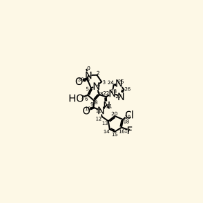 CN1CCn2c(c(O)c3c(=O)n(Cc4ccc(F)c(Cl)c4)nc(-n4cncn4)c32)C1=O